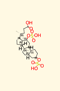 C[C@H](CCC(=O)O)[C@H]1CC[C@H]2[C@@H]3CC[C@@H]4C[C@H](OS(=O)(=O)O)CC[C@]4(C)[C@H]3C[C@H](OS(=O)(=O)O)[C@]12C